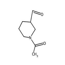 CC(=O)N1CCCC(C=O)C1